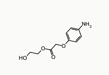 Nc1ccc(OCC(=O)OCCO)cc1